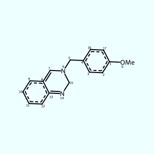 COc1ccc(CN2C=c3ccccc3=NC2)cc1